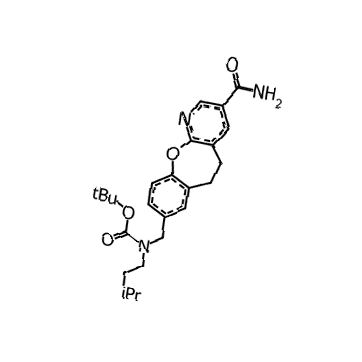 CC(C)CCN(Cc1ccc2c(c1)CCc1cc(C(N)=O)cnc1O2)C(=O)OC(C)(C)C